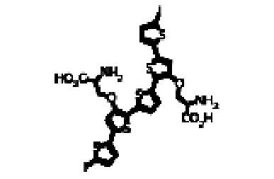 N[C@H](COc1cc(-c2ccc(I)s2)sc1-c1ccc(-c2sc(-c3ccc(I)s3)cc2OC[C@H](N)C(=O)O)s1)C(=O)O